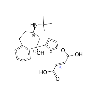 CC(C)(C)N[C@@H]1CCc2ccccc2[C@@](O)(c2cccs2)C1.O=C(O)/C=C/C(=O)O